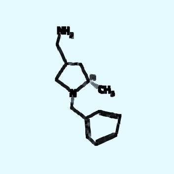 C[C@H]1CC(CN)CN1Cc1ccccc1